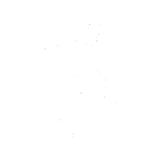 CCCNC(=O)[C@@H]1C[C@@]2(C)C[C@H]2N1C(=O)CC1(C(C)=O)N=Nc2c(C)cc(-c3cnc(C)nc3)cc21